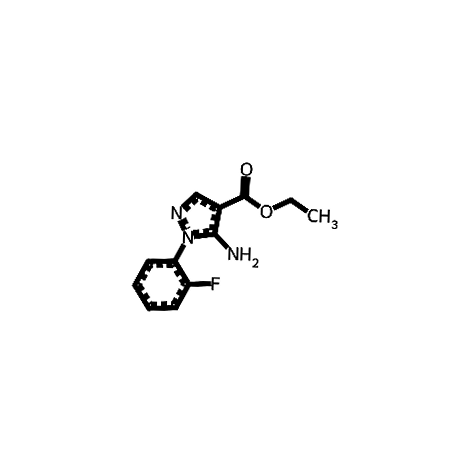 CCOC(=O)c1cnn(-c2ccccc2F)c1N